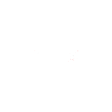 CC(C)CCCCCCCCCCCCCC(CC(CC(CCCCCCCCCCCCCC(C)C)C(=O)O)(CC(CCCCCCCCCCCCCC(C)C)C(=O)O)CC(CCCCCCCCCCCCCC(C)C)C(=O)O)C(=O)O.[CH2]C([CH2])([CH2])CC(CCCCCCCCCCCCCC(C)C)C(=O)O